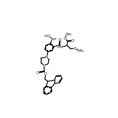 CC(C)(C)OCC(NC(=O)c1cc(N2CCN(C(=O)OCC3c4ccccc4C4C=CC=CC43)CC2)ccc1NO)C(=O)OC(C)(C)C